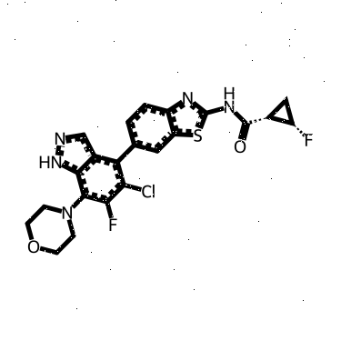 O=C(Nc1nc2ccc(-c3c(Cl)c(F)c(N4CCOCC4)c4[nH]ncc34)cc2s1)[C@@H]1C[C@@H]1F